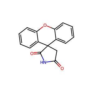 O=C1CC2(C(=O)N1)c1ccccc1Oc1ccccc12